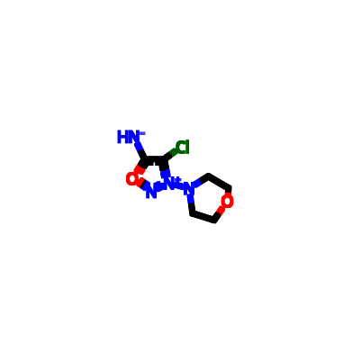 [NH-]c1on[n+](N2CCOCC2)c1Cl